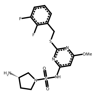 COc1cc(NS(=O)(=O)N2CC[C@H](N)C2)nc(SCc2cccc(F)c2F)n1